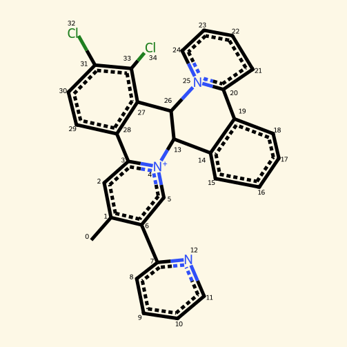 Cc1cc2[n+](cc1-c1ccccn1)C1c3ccccc3-c3cccc[n+]3C1c1c-2ccc(Cl)c1Cl